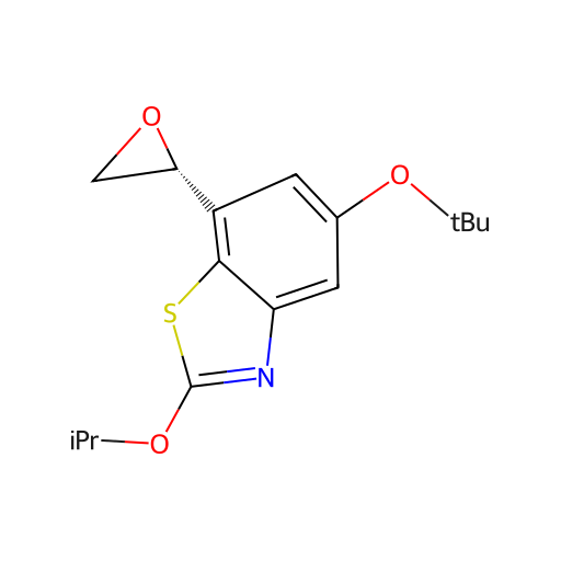 CC(C)Oc1nc2cc(OC(C)(C)C)cc([C@@H]3CO3)c2s1